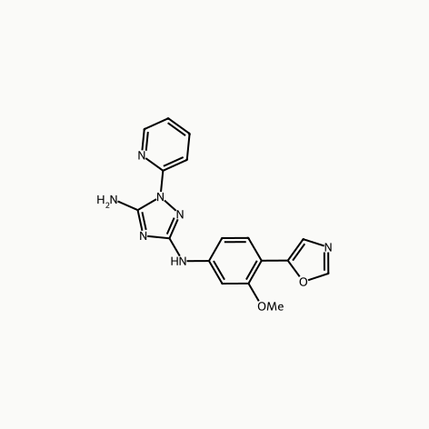 COc1cc(Nc2nc(N)n(-c3ccccn3)n2)ccc1-c1cnco1